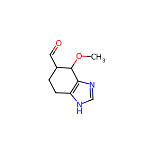 COC1c2nc[nH]c2CCC1C=O